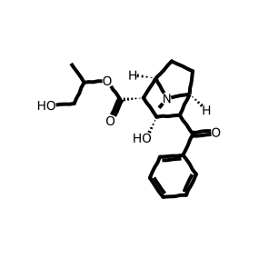 CC(CO)OC(=O)[C@@H]1[C@H]2CC[C@@H](C(C(=O)c3ccccc3)[C@@H]1O)N2C